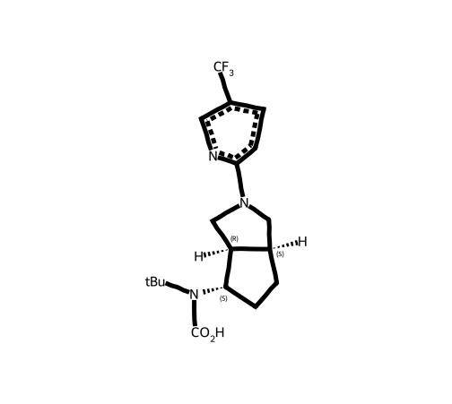 CC(C)(C)N(C(=O)O)[C@H]1CC[C@@H]2CN(c3ccc(C(F)(F)F)cn3)C[C@@H]21